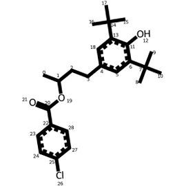 CC(CCc1cc(C(C)(C)C)c(O)c(C(C)(C)C)c1)OC(=O)c1ccc(Cl)cc1